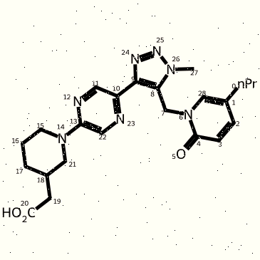 CCCc1ccc(=O)n(Cc2c(-c3cnc(N4CCCC(CC(=O)O)C4)cn3)nnn2C)c1